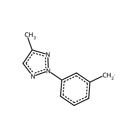 [CH2]c1cccc(-n2ncc(C)n2)c1